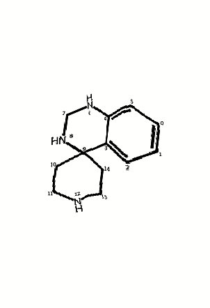 c1ccc2c(c1)NCNC21CCNCC1